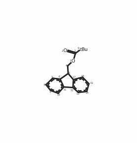 CC(C)(C)C(=O)OCC1c2ccccc2-c2ccccc21